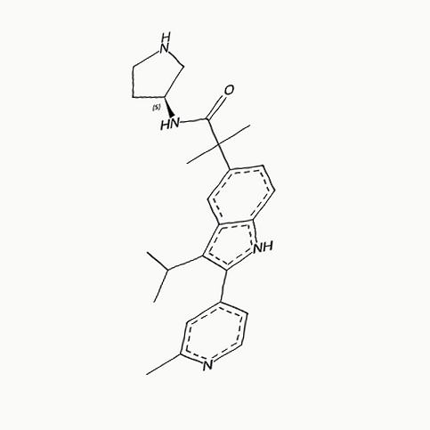 Cc1cc(-c2[nH]c3ccc(C(C)(C)C(=O)N[C@H]4CCNC4)cc3c2C(C)C)ccn1